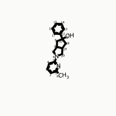 Cc1cccc(N2CC3CC(O)(c4ccccc4)CC3C2)n1